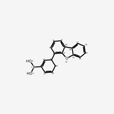 OB(O)C1=CC(c2cccc3c2oc2ccccc23)CC=C1